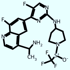 CC(N)c1ccnc2c(F)cc(-c3nc(NC4CCN([S+]([O-])C(F)(F)F)CC4)ncc3F)cc12